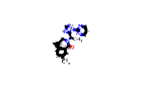 CC(c1ncnn1-c1ncccn1)N(CC1CC1)C(=O)c1cccc(C(F)(F)F)c1